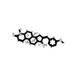 COc1cccc(C=C2C[C@H]3[C@@H]4CCC5N(C)C(=O)C=C[C@]5(C)[C@@H]4CC[C@]3(C)C2O)c1